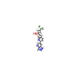 Cn1nnc2cc(-c3ccc4cc(C5(O)CC(C(F)F)C5)sc4n3)cnc21